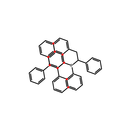 c1ccc(C(Cc2ccccc2CC(c2ccccc2)P(c2ccccc2)c2ccccc2)P(c2ccccc2)c2ccccc2)cc1